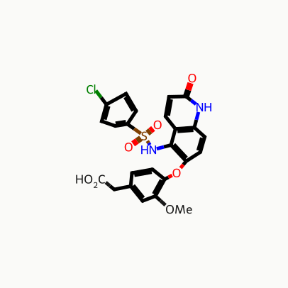 COc1cc(CC(=O)O)ccc1Oc1ccc2[nH]c(=O)ccc2c1NS(=O)(=O)c1ccc(Cl)cc1